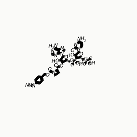 [N-]=[N+]=Nc1ccc(COC(=O)N2CC[C@H]2C(=O)O[C@H]2[C@@H](O)[C@H](n3cnc4c(N)ncnc43)O[C@@H]2COP(=O)(O)[C@H]2[C@@H](O)[C@H](n3ccc(N)nc3=O)O[C@@H]2COP(=O)(O)O)cc1